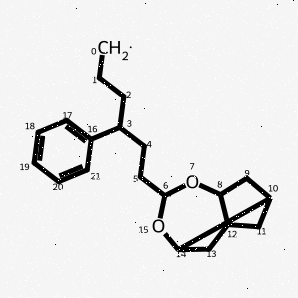 [CH2]CCC(CC[C]1OC2CC3CC2CC3O1)c1ccccc1